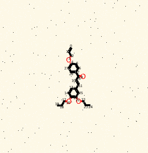 C=CCOc1ccc(C(=O)C=Cc2ccc(OCCC)c(OCCC)c2)cc1